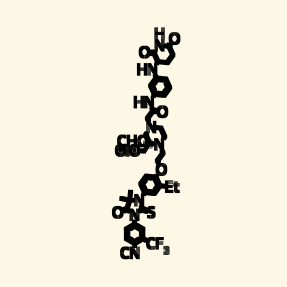 CCc1cc(N2C(=S)N(c3ccc(C#N)c(C(F)(F)F)c3)C(=O)C2(C)C)ccc1OCCN1CCN(CC(=O)Nc2cccc(NC3CCC(=O)NC3=O)c2)C[C@@H]1CO.O=CO